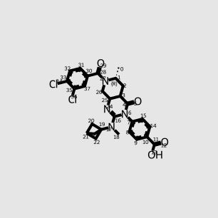 C[C@@H]1CC2C(=O)N(c3ccc(C(=O)O)cc3)C(N(C)C34CC(C3)C4)=NC2CN1C(=O)c1ccc(Cl)c(Cl)c1